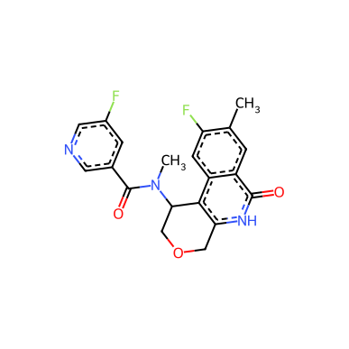 Cc1cc2c(=O)[nH]c3c(c2cc1F)C(N(C)C(=O)c1cncc(F)c1)COC3